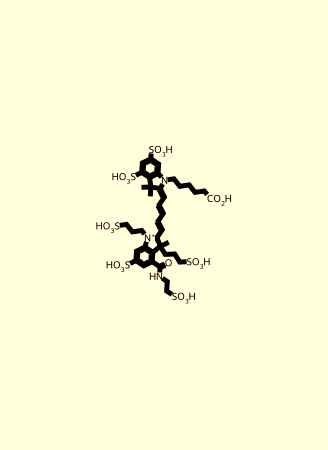 CC1(CCCS(=O)(=O)O)C(/C=C/C=C/C=C2/N(CCCCCC(=O)O)c3cc(S(=O)(=O)O)cc(S(=O)(=O)O)c3C2(C)C)=[N+](CCCS(=O)(=O)O)c2cc(S(=O)(=O)O)cc(C(=O)NCCS(=O)(=O)O)c21